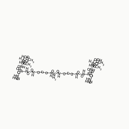 Cc1cc(C)c(S(=O)(=O)NCCNC(=O)c2cn(CCCNC(=O)CCC(=O)NCCCOCCOCCOCCCNC(=O)CCC(N)C(=O)NCCCOCCOCCOCCCNC(=O)CCC(=O)NCCCn3cc(C(=O)NCCNS(=O)(=O)c4c(C)cc(C)c(C(=O)O)c4C)c(=O)c4ccc(CNc5ncc[nH]5)cc43)c3cc(CNc4ncc[nH]4)ccc3c2=O)c(C)c1C(=O)O